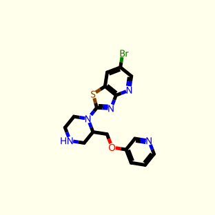 Brc1cnc2nc(N3CCNCC3COc3cccnc3)sc2c1